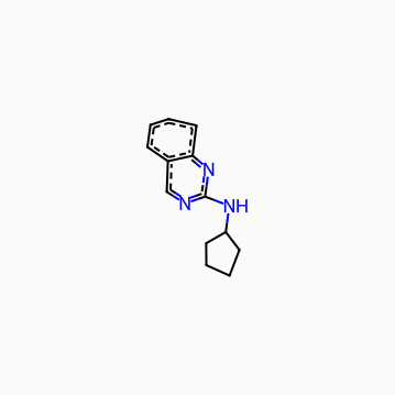 c1ccc2nc(NC3CCCC3)ncc2c1